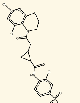 CS(=O)(=O)c1ccc(NC(=O)C2CC2CC(=O)N2CCCc3cc(Cl)cc(Cl)c32)c(Cl)c1